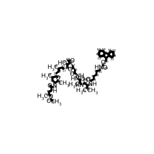 CC(=O)O[C@@H](C)C=CC(=O)N[C@@H]1C[C@H](C)[C@H](CC=C(C)C=C[C@H]2O[C@H](CC(=O)NNC(=O)[C@H](C)NC(=O)[C@@H](NC(=O)CCCCCNC(=O)OCC3c4ccccc4-c4ccccc43)C(C)C)C[C@@]3(CO3)[C@@H]2O)O[C@@H]1C